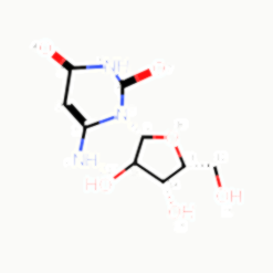 Nc1cc(=O)[nH]c(=O)n1[C@@H]1O[C@H](CO)[C@H](O)C1O